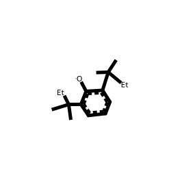 CCC(C)(C)c1cccc(C(C)(C)CC)c1[O]